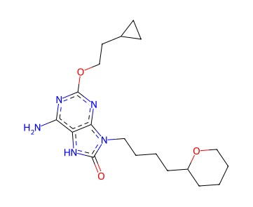 Nc1nc(OCCC2CC2)nc2c1[nH]c(=O)n2CCCCC1CCCCO1